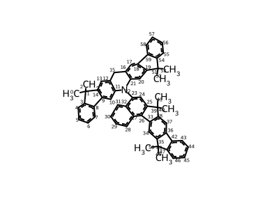 CC1(C)c2ccccc2-c2cc3c(cc21)Cc1cc2c(cc1N3c1cc3c(c4ccccc14)-c1cc4c(cc1C3(C)C)-c1ccccc1C4(C)C)C(C)(C)c1ccccc1-2